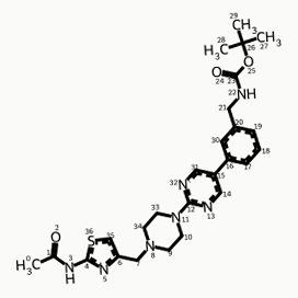 CC(=O)Nc1nc(CN2CCN(c3ncc(-c4cccc(CNC(=O)OC(C)(C)C)c4)cn3)CC2)cs1